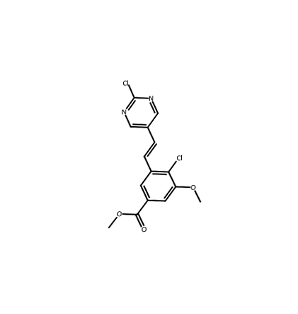 COC(=O)c1cc(C=Cc2cnc(Cl)nc2)c(Cl)c(OC)c1